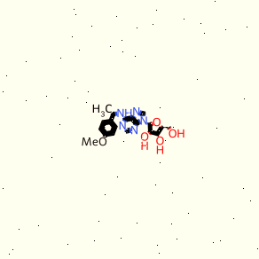 COc1ccc(C(C)Nc2ncnc3c2ncn3[C@@H]2O[C@H](CO)[C@H](O)C2O)cc1